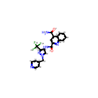 NC(=O)c1cc(C(=O)Nc2cn(Cc3ccncc3)nc2C(F)(F)F)nc2ccccc12